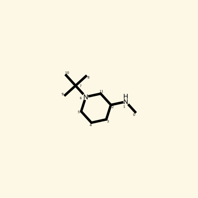 CNC1CCCN(C(C)(C)C)C1